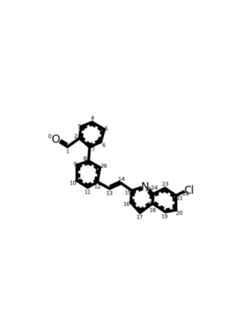 O=Cc1ccccc1-c1cccc(/C=C/c2ccc3ccc(Cl)cc3n2)c1